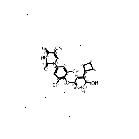 N#Cc1cn(-c2cc(Cl)c(OC3=NNC(O)C(C4CCC4)=C3)c(Cl)c2)c(=O)[nH]c1=O